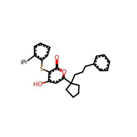 CC(C)c1ccccc1Sc1c(O)cc(C2(CCCc3ccccc3)CCCC2)oc1=O